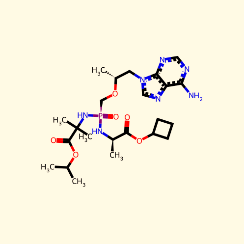 CC(C)OC(=O)C(C)(C)N[P@@](=O)(CO[C@H](C)Cn1cnc2c(N)ncnc21)N[C@H](C)C(=O)OC1CCC1